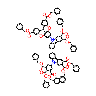 O=C(OCc1ccccc1)c1ccc2c(c1)Oc1cc(-n3c4ccc(-c5ccc6c(c5)c5cc(C(=O)OCc7ccccc7)c(C(=O)OCc7ccccc7)cc5n6-c5cc(C(=O)OCc6ccccc6)c(C(=O)OCc6ccccc6)c(C(=O)OCc6ccccc6)c5)cc4c4cc(C(=O)OCc5ccccc5)c(C(=O)OCc5ccccc5)cc43)cc3c1B2c1ccc(C(=O)OCc2ccccc2)cc1O3